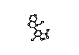 O=CN1c2cnccc2OCC1c1cc(Cl)c(O)c([N+](=O)[O-])c1